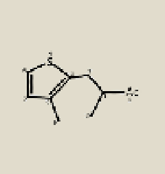 CC(=O)C(C)Cc1sccc1C